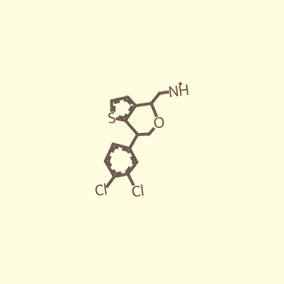 CNCC1OCC(c2ccc(Cl)c(Cl)c2)c2sccc21